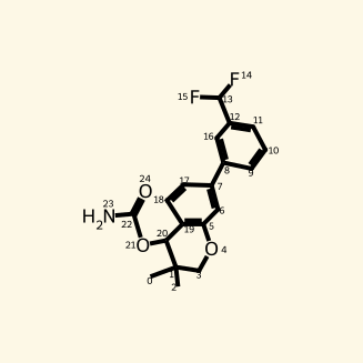 CC1(C)COc2cc(-c3cccc(C(F)F)c3)ccc2C1OC(N)=O